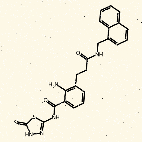 Nc1c(CCC(=O)NCc2cccc3ccccc23)cccc1C(=O)Nc1n[nH]c(=S)s1